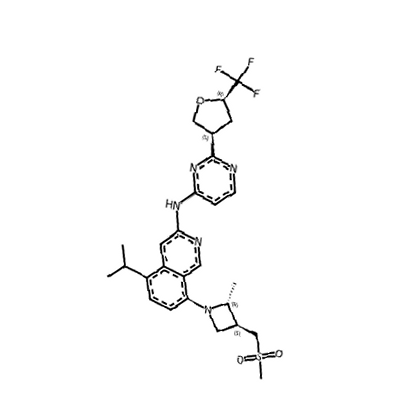 CC(C)c1ccc(N2C[C@H](CS(C)(=O)=O)[C@H]2C)c2cnc(Nc3ccnc([C@H]4CO[C@@H](C(F)(F)F)C4)n3)cc12